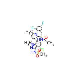 CCC(=O)N[C@@H](Cc1cc(F)cc(F)c1)c1nc(C)ccc1-c1ccc(Cl)c2c(NS(C)(=O)=O)nn(C)c12